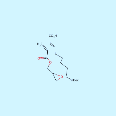 C=CC(=O)OCC1CO1.CCCCCCCCCCCCCCCC=CC(=O)O